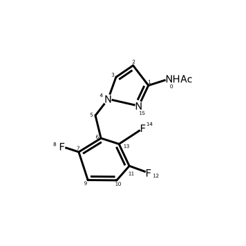 CC(=O)Nc1ccn(Cc2c(F)ccc(F)c2F)n1